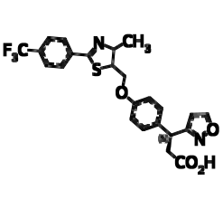 CC1N=C(c2ccc(C(F)(F)F)cc2)SC1COc1ccc([C@H](CC(=O)O)c2ccon2)cc1